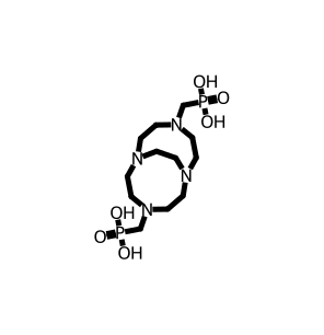 O=P(O)(O)CN1CCN2CCN(CC1)CCN(CP(=O)(O)O)CC2